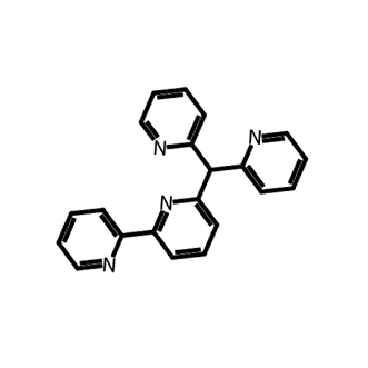 c1ccc(-c2cccc(C(c3ccccn3)c3ccccn3)n2)nc1